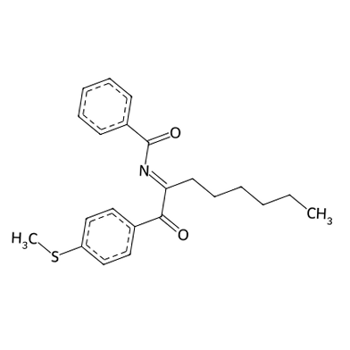 CCCCCC/C(=N\C(=O)c1ccccc1)C(=O)c1ccc(SC)cc1